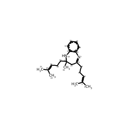 CC(C)=CCCC1=Nc2ccccc2NC(C)(CCC=C(C)C)C1